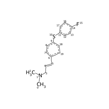 CN(C)CC=Cc1ccc(Sc2ccc(F)cc2)cc1